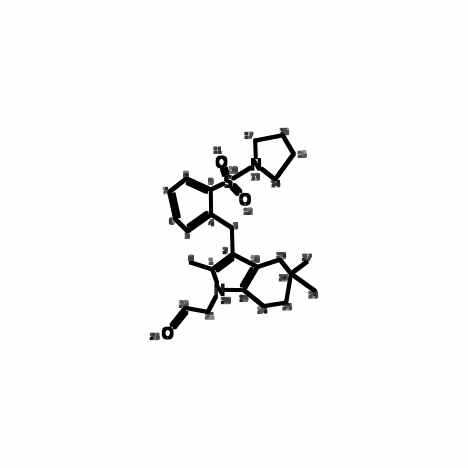 Cc1c(Cc2ccccc2S(=O)(=O)N2CCCC2)c2c(n1CC=O)CCC(C)(C)C2